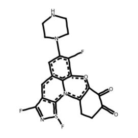 O=C1CCc2c(oc3c(F)c(N4CCNCC4)cc4cc5c(n2-c43)=S(F)N=C5F)C1=O